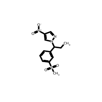 CCC(c1cccc(S(C)(=O)=O)c1)n1cc([N+](=O)[O-])cn1